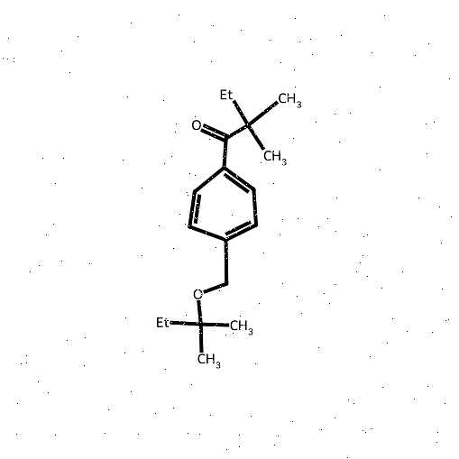 CCC(C)(C)OCc1ccc(C(=O)C(C)(C)CC)cc1